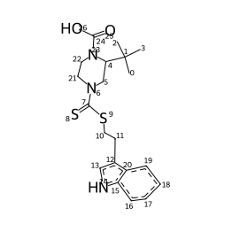 CC(C)(C)C1CN(C(=S)SCCc2c[nH]c3ccccc23)CCN1C(=O)O